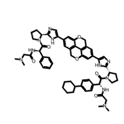 CN(C)CC(=O)N[C@@H](C(=O)N1CCC[C@H]1c1ncc(-c2cc3c4c(c2)OCc2cc(-c5cnc([C@@H]6CCCN6C(=O)[C@H](NC(=O)CN(C)C)c6ccc(C7CCCCC7)cc6)[nH]5)cc(c2-4)OC3)[nH]1)c1ccccc1